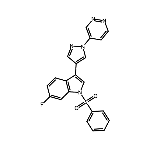 O=S(=O)(c1ccccc1)n1cc(-c2cnn(-c3ccnnc3)c2)c2ccc(F)cc21